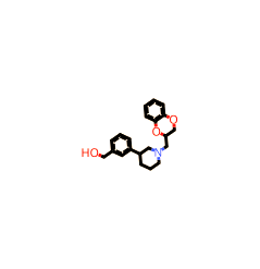 OCc1cccc(C2CCCN(CC3COc4ccccc4O3)C2)c1